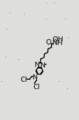 Cn1c(CCCCCCC(=O)NO)nc2cc(N(CCCl)CCCl)ccc21